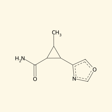 CC1C(C(N)=O)C1c1cocn1